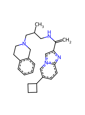 C=C(NCC(C)CN1CCc2ccccc2C1)c1cn2cc(C3CCC3)ccc2n1